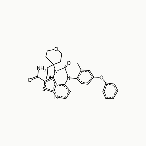 Cc1cc(Oc2ccccc2)ccc1N1C(=O)N(C2(CO)CCOCC2)c2c(C(N)=O)sc3nccc1c23